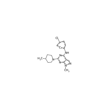 CC1CCN(c2nc(Nc3ccc(Cl)cc3)c3cnn(C)c3n2)CC1